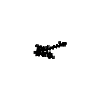 O=C(CCCCCCCNC(=O)c1[nH]c2cc(Cl)ccc2c1-c1c(-c2ccc(F)cc2)cnn1Cc1ccc(Cl)cc1)NO